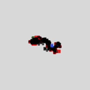 C[C@H](NC(=O)[C@H](CCC(=O)O)NC(=O)CCN1C(=O)C=CC1=O)C(=O)Nc1ccc(Cc2ccc([C@@H]3O[C@@H]4C[C@H]5[C@@H]6C[C@H](F)C7=CC(=O)C=C[C@]7(C)[C@@]6(F)[C@@H](O)C[C@]5(C)[C@]4(C(=O)CO)O3)cc2)cc1